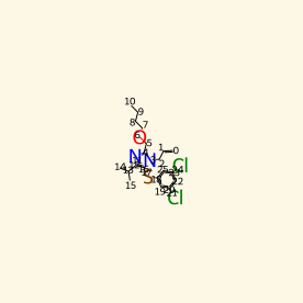 C=CCn1c(COCCCC)nc(C(C)C)c1Sc1cc(Cl)cc(Cl)c1